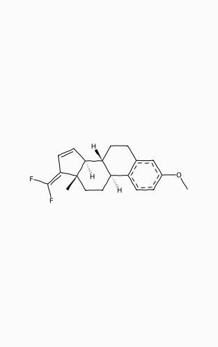 COc1ccc2c(c1)CC[C@@H]1[C@@H]2CC[C@]2(C)C(=C(F)F)C=C[C@@H]12